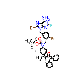 CC(C)(C)OC(=O)N(Cc1cc(Cn2c(Br)nc3c(N)nc(F)nc32)ccc1Br)c1cccc(O[Si](c2ccccc2)(c2ccccc2)C(C)(C)C)c1